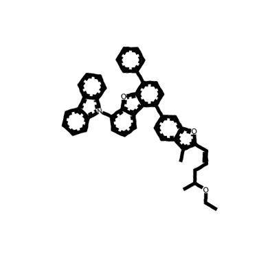 CCOC(C)C/C=C\c1oc2cc(-c3ccc(-c4ccccc4)c4oc5c(-n6c7ccccc7c7ccccc76)cccc5c34)ccc2c1C